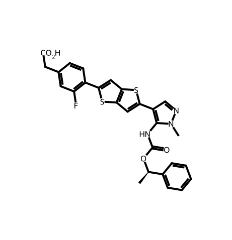 C[C@@H](OC(=O)Nc1c(-c2cc3sc(-c4ccc(CC(=O)O)cc4F)cc3s2)cnn1C)c1ccccc1